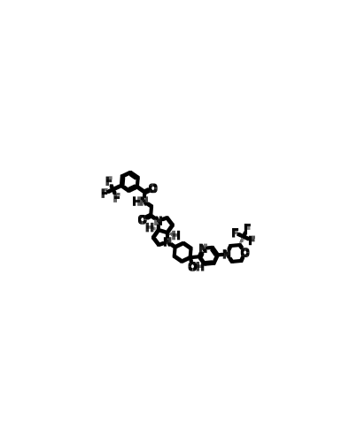 O=C(NCC(=O)N1CC[C@@H]2[C@H]1CCN2C1CCC(O)(c2ccc(N3CCO[C@@H](C(F)(F)F)C3)cn2)CC1)c1cccc(C(F)(F)F)c1